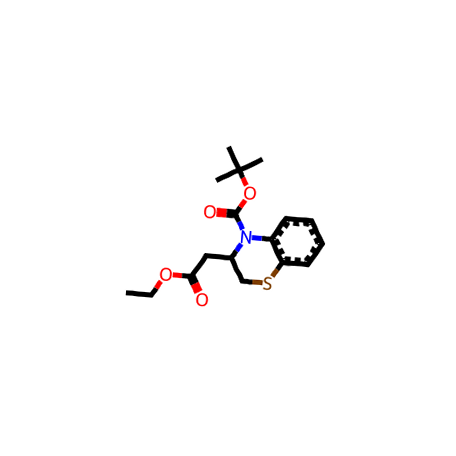 CCOC(=O)CC1CSc2ccccc2N1C(=O)OC(C)(C)C